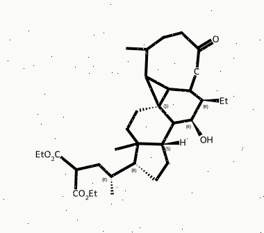 CCOC(=O)C(C[C@@H](C)[C@H]1CC[C@H]2C3[C@H](O)[C@H](CC)C4CC(=O)CCC(C)C5C4[C@]53CCC12C)C(=O)OCC